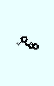 Cc1ccccc1CC1=Cc2ccccc2[P]1